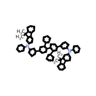 CC1(C)c2ccccc2-c2ccc(N(c3ccccc3)c3cccc(-c4ccc(-c5ccc(-c6cccc(N(c7ccccc7)c7ccc8c(c7)C(C)(C)c7ccccc7-8)c6)cc5-c5ccccc5)c(-c5ccccc5)c4)c3)cc21